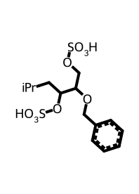 CC(C)CC(OS(=O)(=O)O)C(COS(=O)(=O)O)OCc1ccccc1